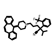 CC(C)C(C#N)(CCCN1CCC(=C2c3ccccc3C=Cc3ccccc32)CC1)c1ccccc1C(F)(F)F